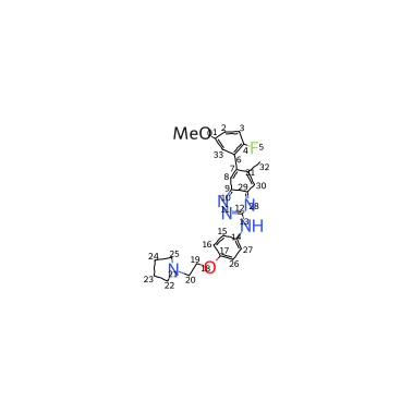 COc1ccc(F)c(-c2cc3nnc(Nc4ccc(OCCN5CCCC5)cc4)nc3cc2C)c1